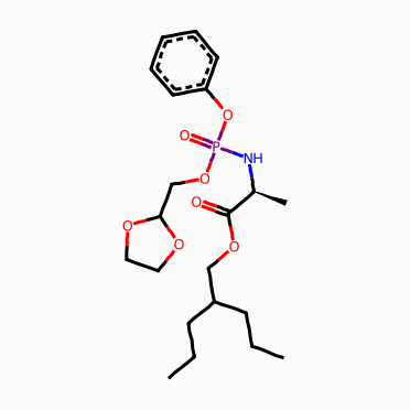 CCCC(CCC)COC(=O)[C@H](C)NP(=O)(OCC1OCCO1)Oc1ccccc1